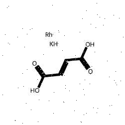 O=C(O)C=CC(=O)O.[KH].[Rh]